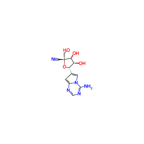 N#C[C@]1(CO)O[C@@H](c2cc3ncnc(N)n3c2)[C@H](O)[C@@H]1O